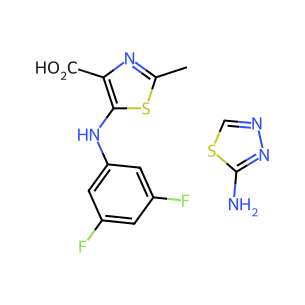 Cc1nc(C(=O)O)c(Nc2cc(F)cc(F)c2)s1.Nc1nncs1